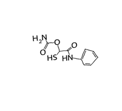 NC(=O)OC(S)C(=O)Nc1ccccc1